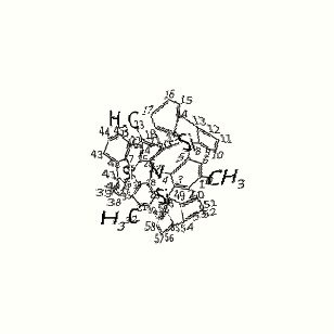 Cc1cc2c3c(c1)[Si]1(c4ccccc4-c4ccccc41)c1cc(C)cc4c1N3c1c(cc(C)cc1[Si]41c3ccccc3-c3ccccc31)[Si]21c2ccccc2-c2ccccc21